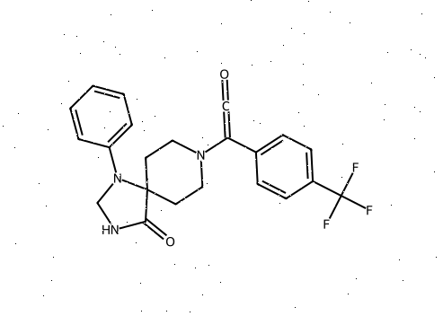 O=C=C(c1ccc(C(F)(F)F)cc1)N1CCC2(CC1)C(=O)NCN2c1ccccc1